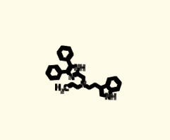 C=CCN(CCc1c[nH]c2ccccc12)Cc1nc(-c2ccccc2)c(-c2ccccc2)[nH]1